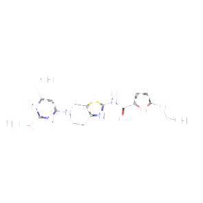 CCOc1ccc(C(=O)Nc2nc3c(s2)CN(c2cc(OC)nc(OC)n2)CC3)o1